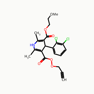 C#CCOOC(=O)C1=C(C)NC(C)=C(C(=O)OCCOC)C1c1cccc(Cl)c1Cl